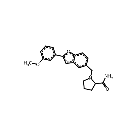 COc1cccc(-c2cc3cc(CN4CCCC4C(N)=O)ccc3o2)c1